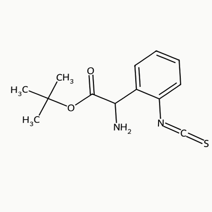 CC(C)(C)OC(=O)C(N)c1ccccc1N=C=S